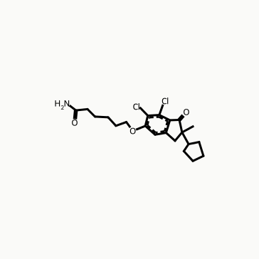 CC1(C2CCCC2)Cc2cc(OCCCCCC(N)=O)c(Cl)c(Cl)c2C1=O